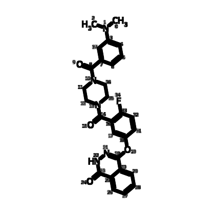 CN(C)c1cccc(C(=O)N2CCN(C(=O)c3cc(Oc4n[nH]c(=O)c5ccccc45)ccc3F)CC2)c1